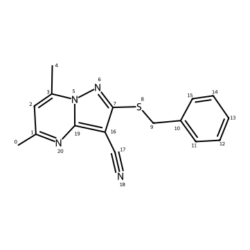 Cc1cc(C)n2nc(SCc3ccccc3)c(C#N)c2n1